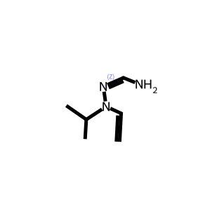 C=CN(/N=C\N)C(C)C